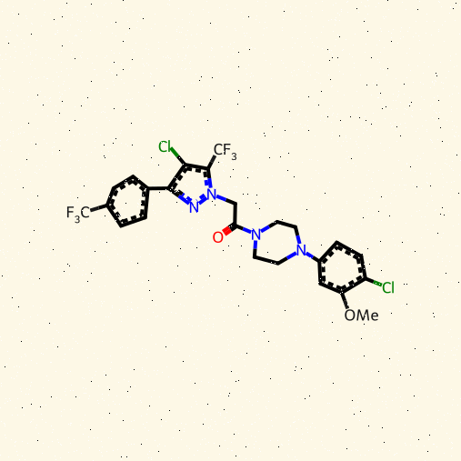 COc1cc(N2CCN(C(=O)Cn3nc(-c4ccc(C(F)(F)F)cc4)c(Cl)c3C(F)(F)F)CC2)ccc1Cl